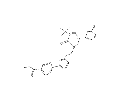 COC(=O)c1ccc(-c2cccc(CCN(C[C@H](O)c3cccc(Cl)c3)C(=O)OC(C)(C)C)c2)cc1